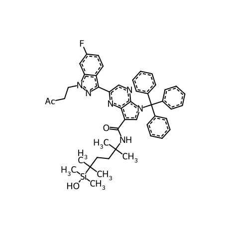 CC(=O)CCn1nc(-c2cnc3c(n2)c(C(=O)NC(C)(C)CCC(C)(C)[Si](C)(C)O)cn3C(c2ccccc2)(c2ccccc2)c2ccccc2)c2ccc(F)cc21